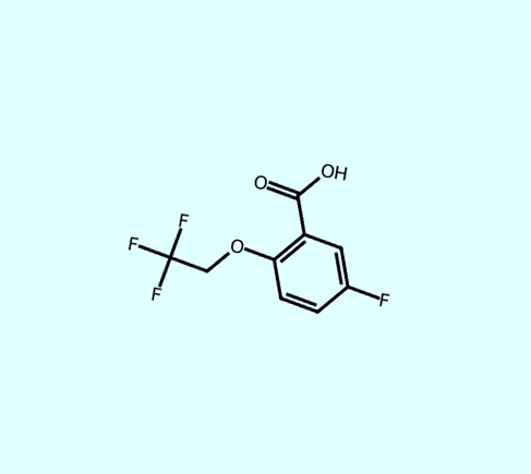 O=C(O)c1cc(F)ccc1OCC(F)(F)F